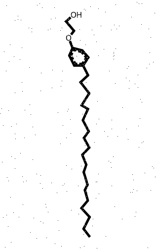 CCCCCCCCCCCCCCCCCCCc1ccc(OCCO)cc1